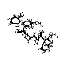 Cc1nc(C(=O)N2CCC2CNC(=O)c2c(C)nc3sccn23)c(-c2ccccc2Cl)s1